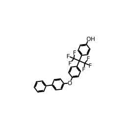 Oc1ccc(C(c2ccc(Oc3ccc(-c4ccccc4)cc3)cc2)(C(F)(F)F)C(F)(F)F)cc1